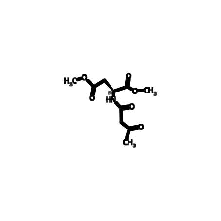 COC(=O)C[C@H](NC(=O)CC(C)=O)C(=O)OC